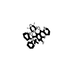 C[C@@H]1CN(c2c(C(O)[Si](c3ccccc3)(c3ccccc3)C(C)(C)C)cc(F)c(F)c2C(O)c2ccccn2)C[C@H](C)O1